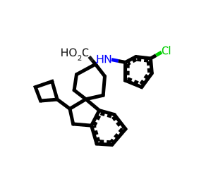 O=C(O)C1(Nc2cccc(Cl)c2)CCC2(CC1)c1ccccc1CC2C1CCC1